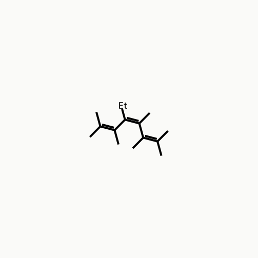 CC/C(C(C)=C(C)C)=C(\C)C(C)=C(C)C